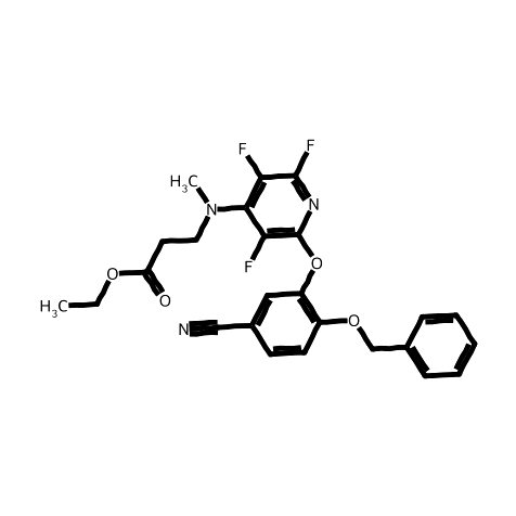 CCOC(=O)CCN(C)c1c(F)c(F)nc(Oc2cc(C#N)ccc2OCc2ccccc2)c1F